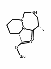 C[C@H]1CNCN2CCC[C@@H](C(=O)OC(C)(C)C)N2C1=O